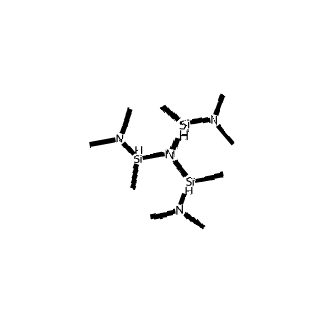 CN(C)[SiH](C)N([SiH](C)N(C)C)[SiH](C)N(C)C